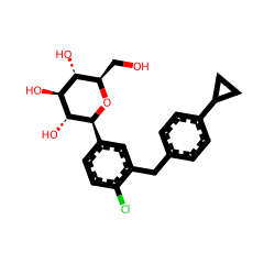 OC[C@H]1O[C@@H](c2ccc(Cl)c(Cc3ccc(C4CC4)cc3)c2)[C@H](O)[C@@H](O)[C@@H]1O